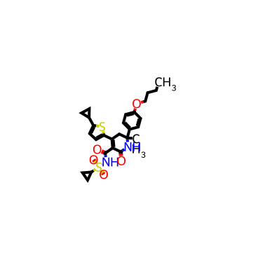 CCCCOc1ccc(C2(C)CC(c3ccc(C4CC4)s3)=C(C(=O)NS(=O)(=O)C3CC3)C(=O)N2)cc1